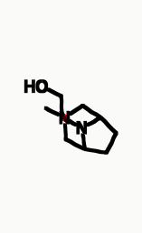 CN1CC2CCC(C1)N2CCO